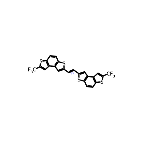 FC(F)(F)c1cc2c(ccc3sc(/C=C/c4cc5c(ccc6sc(C(F)(F)F)cc65)s4)cc32)s1